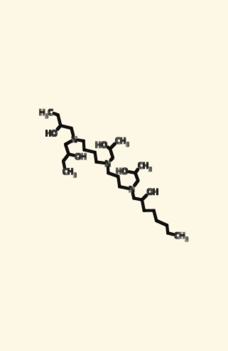 CCCCCCC(O)CN(CCCN(CCCCN(CC(O)CC)CC(O)CC)CC(C)O)CC(C)O